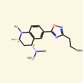 CNCCc1noc(-c2ccc3c(c2)[C@H](N(C(=O)O)C(C)C)C[C@H](C)N3C(C)=O)n1